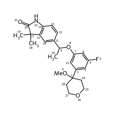 COC1(c2cc(F)cc(OC(C)c3ccc4c(c3)C(C)(C)C(=O)N4)c2)CCOCC1